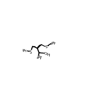 CC(C)SCC(CSC(C)C)C(O)C(C)C